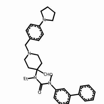 CCN(C(=O)N(C)c1cccc(-c2ccccc2)c1)C1(C=O)CCN(Cc2ccc(N3CCCC3)cc2)CC1